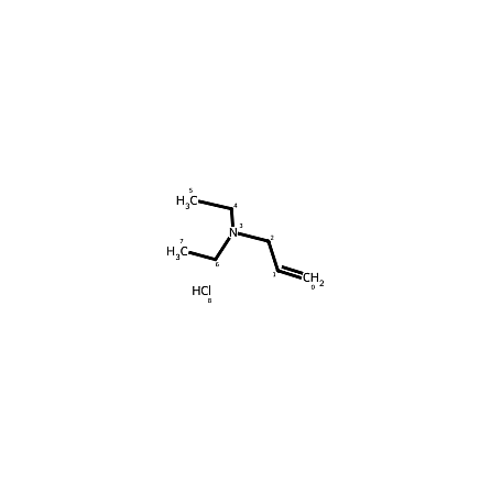 C=CCN(CC)CC.Cl